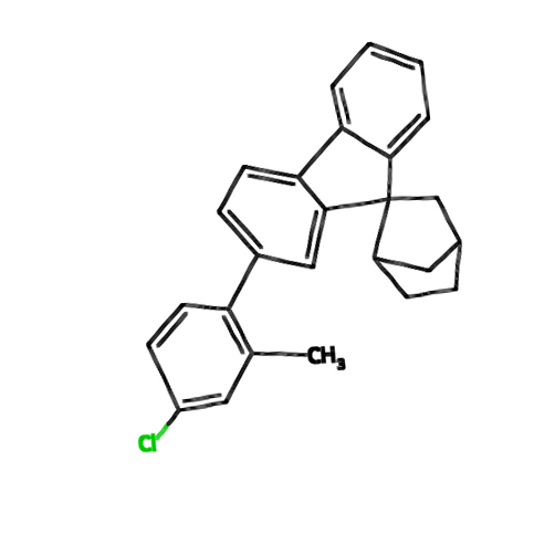 Cc1cc(Cl)ccc1-c1ccc2c(c1)C1(CC3CCC1C3)c1ccccc1-2